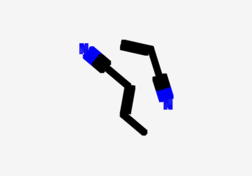 C=CC#N.CC=CC#N